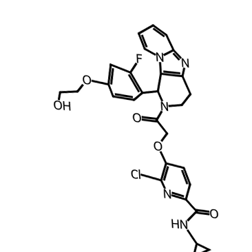 O=C(NC1CC1)c1ccc(OCC(=O)N2CCc3nc4ccccn4c3C2c2ccc(OCCO)cc2F)c(Cl)n1